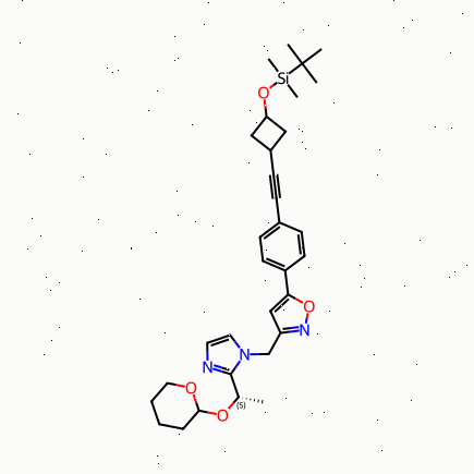 C[C@H](OC1CCCCO1)c1nccn1Cc1cc(-c2ccc(C#CC3CC(O[Si](C)(C)C(C)(C)C)C3)cc2)on1